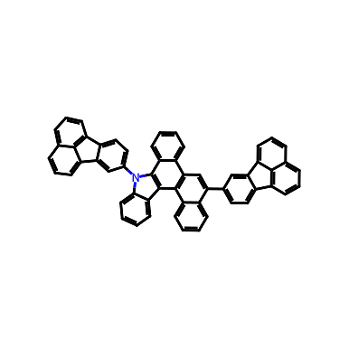 c1cc2c3c(cccc3c1)-c1cc(-c3cc4c5ccccc5c5c(c6ccccc6n5-c5ccc6c(c5)-c5cccc7cccc-6c57)c4c4ccccc34)ccc1-2